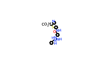 N=C(NCc1ccccc1)Nc1cccc(C(=O)Nc2cccc(SC(CC(=O)O)c3cccnc3)c2)c1